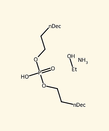 CCCCCCCCCCCCOP(=O)(O)OCCCCCCCCCCCC.CCO.N